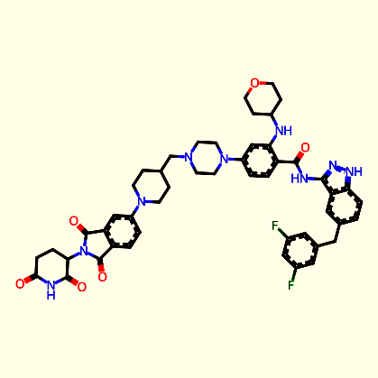 O=C1CCC(N2C(=O)c3ccc(N4CCC(CN5CCN(c6ccc(C(=O)Nc7n[nH]c8ccc(Cc9cc(F)cc(F)c9)cc78)c(NC7CCOCC7)c6)CC5)CC4)cc3C2=O)C(=O)N1